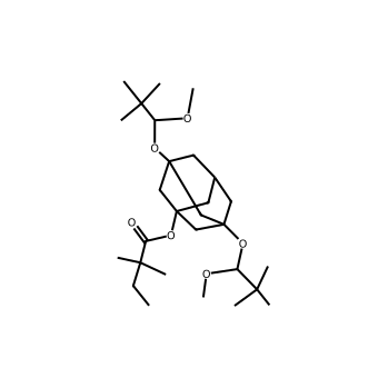 CCC(C)(C)C(=O)OC12CC3CC(OC(OC)C(C)(C)C)(C1)CC(OC(OC)C(C)(C)C)(C3)C2